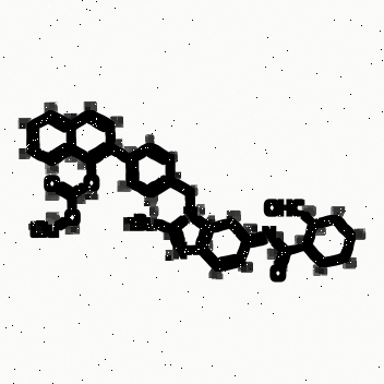 CCCCc1nc2c(n1Cc1ccc(-c3ccc4ccccc4c3OC(=O)OC(C)(C)C)cc1)CC(=NC(=O)[C@@H]1CCCC[C@@H]1C=O)C=C2